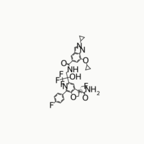 NC(=O)[C@@]1(CF)COc2c1cc(C(O)(CNC(=O)c1cc(OC3CC3)c3nn(C4CC4)cc3c1)C(F)(F)F)nc2-c1ccc(F)cc1